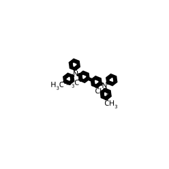 Cc1ccc(N(c2ccccc2)c2ccc(-c3ccc(N(c4ccccc4)c4ccc(C)cc4)c(C)c3)cc2C)cc1